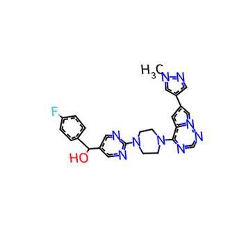 Cn1cc(-c2cc3c(N4CCN(c5ncc(C(O)c6ccc(F)cc6)cn5)CC4)ncnn3c2)cn1